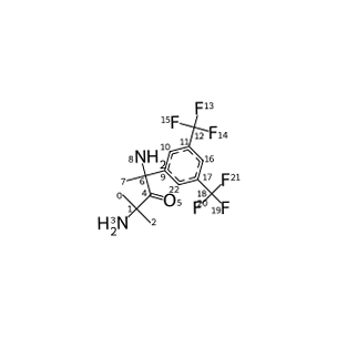 CC(C)(N)C(=O)C(C)(N)c1cc(C(F)(F)F)cc(C(F)(F)F)c1